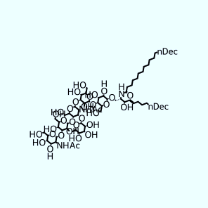 CCCCCCCCCCCCC/C=C/[C@@H](O)[C@H](CO[C@@H]1OC(CO)[C@@H](O[C@@H]2OC(CO)[C@H](O)[C@H](O[C@@H]3OC(CO)[C@@H](O[C@@H]4OC(CO)[C@H](O)[C@H](O[C@@H]5OC(CO)[C@@H](O)[C@H](O)C5NC(C)=O)C4O)[C@H](O[C@H]4OC(C)[C@@H](O)C(O)[C@@H]4O)C3NC(C)=O)C2O)[C@H](O)C1O)NC(=O)CCCCCCCCCCCCCCCCCCCCC